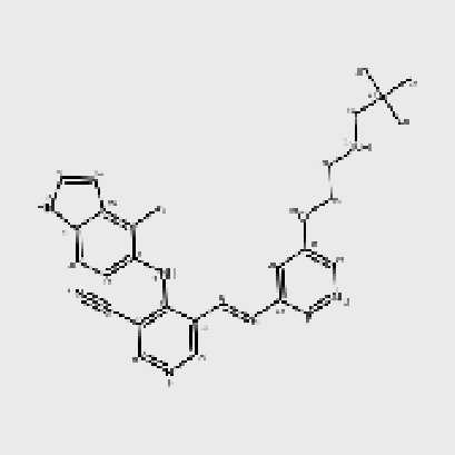 Cc1c(Nc2c(C#N)cncc2C=Cc2cncc(OCCNCC(C)(C)C)c2)ccc2[nH]ccc12